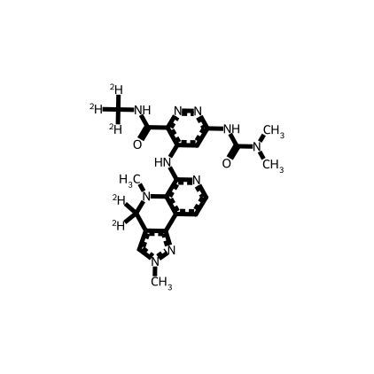 [2H]C([2H])([2H])NC(=O)c1nnc(NC(=O)N(C)C)cc1Nc1nccc2c1N(C)C([2H])([2H])c1cn(C)nc1-2